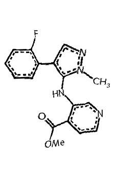 COC(=O)c1ccncc1Nc1c(-c2ccccc2F)cnn1C